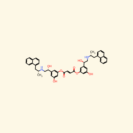 C[C@H](Cc1cccc2ccccc12)NC[C@H](O)c1cc(O)cc(OC(=O)/C=C/C(=O)Oc2cc(O)cc([C@@H](O)CN[C@H](C)Cc3cccc4ccccc34)c2)c1